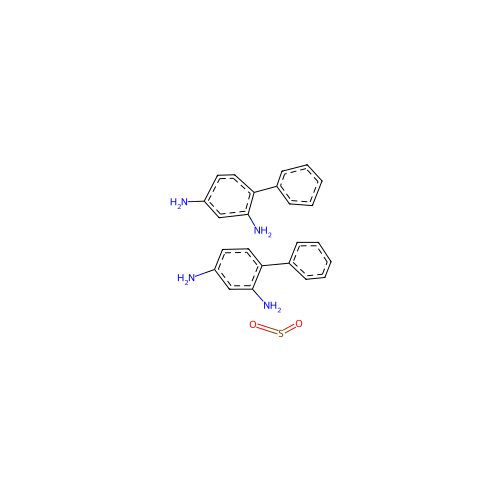 Nc1ccc(-c2ccccc2)c(N)c1.Nc1ccc(-c2ccccc2)c(N)c1.O=S=O